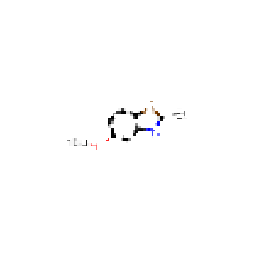 [CH2]CCCOc1ccc2sc(CC)nc2c1